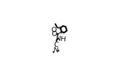 CC(=O)[C@H]1CCCC[C@H]1C(=O)NCCCN(C)C